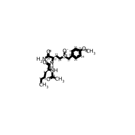 CCCC[C@H](NC(C)=O)C(=O)N[C@@H](CC[S+]([O-])Cc1ccc(OC)cc1)C(N)=O